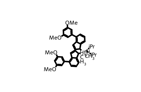 COc1cc(OC)cc(-c2cccc3c2C=C[CH]3[Hf]([CH3])([CH3])([CH]2C=Cc3c(-c4cc(OC)cc(OC)c4)cccc32)=[Si](C(C)C)C(C)C)c1